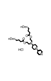 CCCCCCCCCCCCCC(=O)OCCN(CCOC(=O)CCCCCCCCCCCCC)C1CCN(c2ccncc2)CC1.Cl